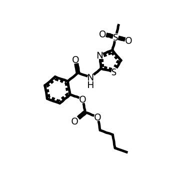 CCCCOC(=O)Oc1ccccc1C(=O)Nc1nc(S(C)(=O)=O)cs1